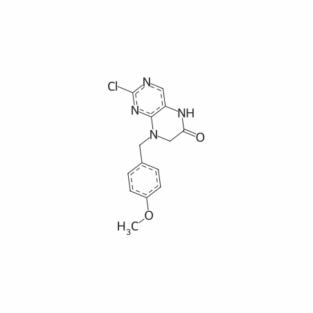 COc1ccc(CN2CC(=O)Nc3cnc(Cl)nc32)cc1